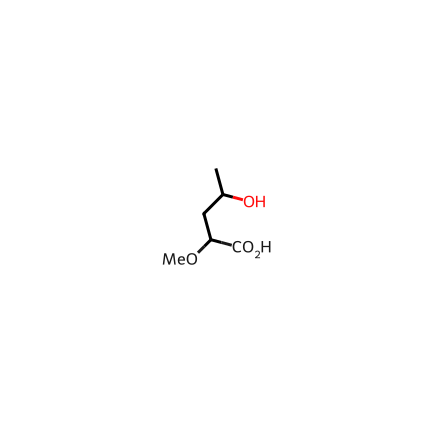 COC(CC(C)O)C(=O)O